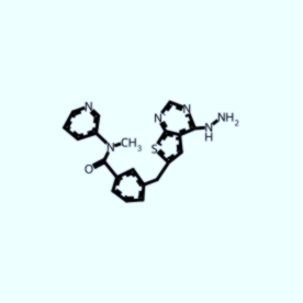 CN(C(=O)c1cccc(Cc2cc3c(NN)ncnc3s2)c1)c1cccnc1